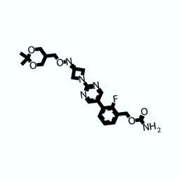 CC1(C)OCC(CON=C2CN(c3ncc(-c4cccc(COC(N)=O)c4F)cn3)C2)CO1